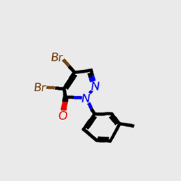 Cc1cccc(-n2ncc(Br)c(Br)c2=O)c1